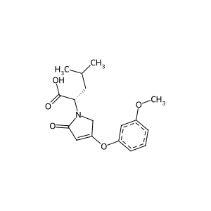 COc1cccc(OC2=CC(=O)N([C@@H](CC(C)C)C(=O)O)C2)c1